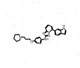 c1cc(-c2ccc3cc[nH]c3c2)n2nc(Nc3ccc(OCCCN4CCCCC4)cc3)nc2c1